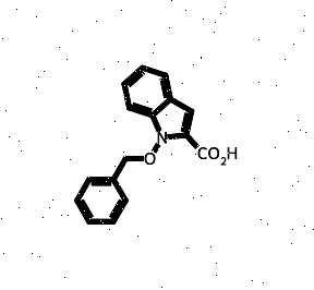 O=C(O)c1cc2ccccc2n1OCc1ccccc1